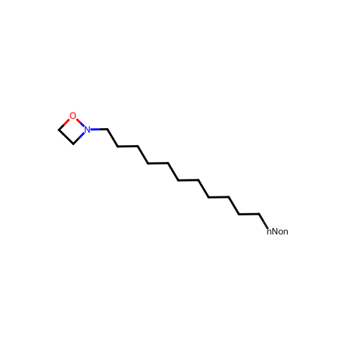 CCCCCCCCCCCCCCCCCCCCN1CCO1